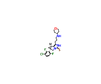 Fc1ccc(Cl)c(F)c1[C@]12C[C@H]1c1c(CCCNC3CCOCC3)[nH]c(=S)n1C2